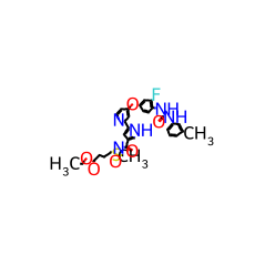 CCOC(=O)CCCS(C)(=O)=NC(=O)c1c[nH]c(-c2cc(Oc3ccc(NC(=O)Nc4cccc(C)c4)c(F)c3)ccn2)c1